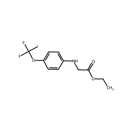 CCOC(=O)CNc1ccc(OC(F)(F)I)cc1